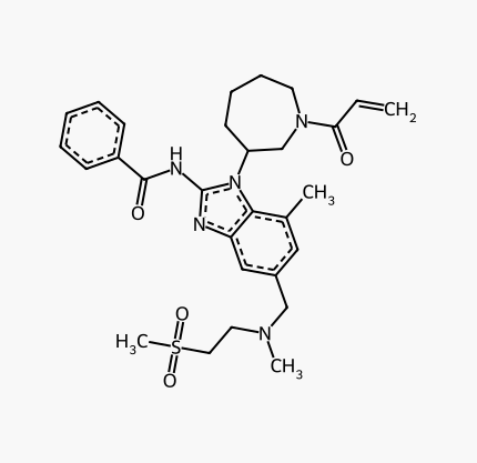 C=CC(=O)N1CCCCC(n2c(NC(=O)c3ccccc3)nc3cc(CN(C)CCS(C)(=O)=O)cc(C)c32)C1